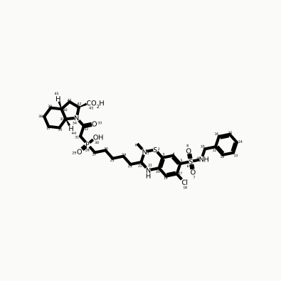 CN1Sc2cc(S(=O)(=O)NCc3ccccc3)c(Cl)cc2NC1CCCCCP(=O)(O)CC(=O)N1[C@@H]2CCCC[C@@H]2C[C@H]1C(=O)O